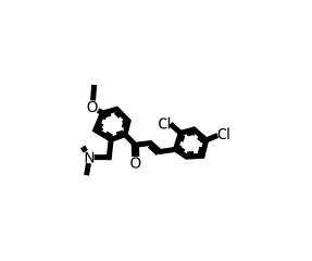 COc1ccc(C(=O)C=Cc2ccc(Cl)cc2Cl)c(CN(C)C)c1